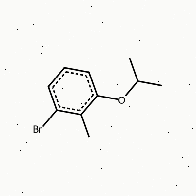 Cc1c(Br)cccc1OC(C)C